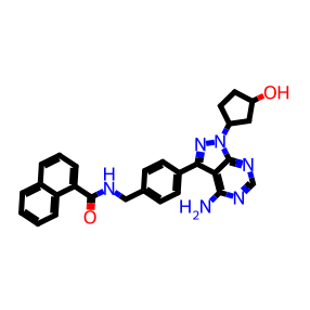 Nc1ncnc2c1c(-c1ccc(CNC(=O)c3cccc4ccccc34)cc1)nn2C1CCC(O)C1